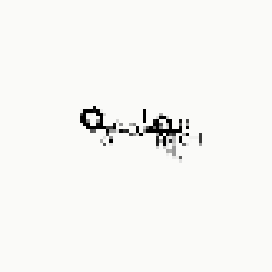 N[C@@]1(C(=O)O)CC[C@H]2[C@H](COCOC(=O)c3ccccc3)[C@H]21